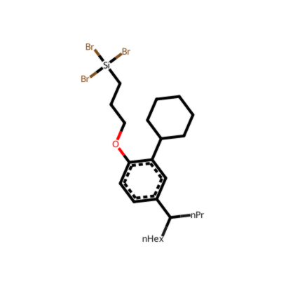 CCCCCCC(CCC)c1ccc(OCCC[Si](Br)(Br)Br)c(C2CCCCC2)c1